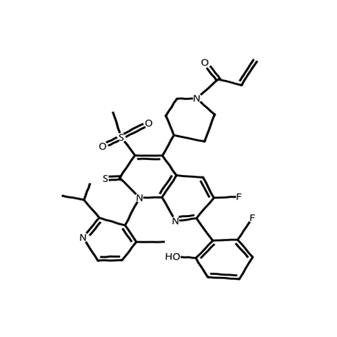 C=CC(=O)N1CCC(c2c(S(C)(=O)=O)c(=S)n(-c3c(C)ccnc3C(C)C)c3nc(-c4c(O)cccc4F)c(F)cc23)CC1